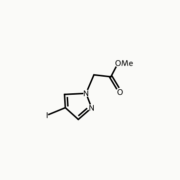 COC(=O)Cn1cc(I)cn1